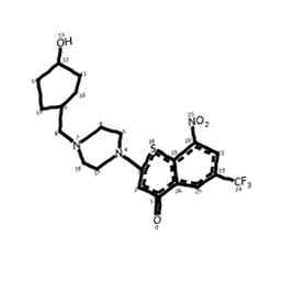 O=c1cc(N2CCN(CC3CCC(O)CC3)CC2)sc2c([N+](=O)[O-])cc(C(F)(F)F)cc12